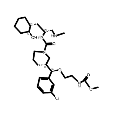 CNC[C@@H](C[C@H]1CCCC[C@@H]1O)NC(=O)N1CCC[C@@H]([C@@H](OCCNC(=O)OC)c2cccc(Cl)c2)C1